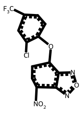 O=[N+]([O-])c1ccc(Oc2ccc(C(F)(F)F)cc2Cl)c2nonc12